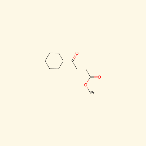 [CH2]C([CH2])OC(=O)CCC(=O)C1CCCCC1